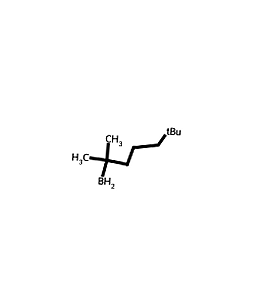 BC(C)(C)CCCC(C)(C)C